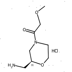 COCC(=O)N1CCO[C@@H](CN)C1.Cl